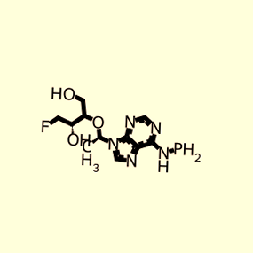 C[C@@H](OC(CO)[C@H](O)CF)n1cnc2c(NP)ncnc21